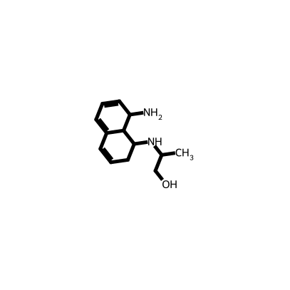 CC(CO)NC1CC=CC2=CC=CC(N)C21